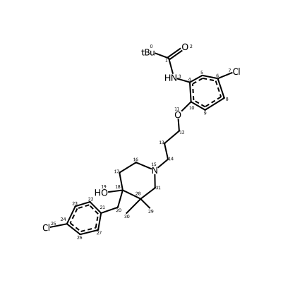 CC(C)(C)C(=O)Nc1cc(Cl)ccc1OCCCN1CCC(O)(Cc2ccc(Cl)cc2)C(C)(C)C1